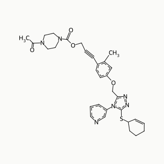 CC(=O)N1CCN(C(=O)OCC#Cc2ccc(OCc3nnc(SC4C=CCCC4)n3-c3cccnc3)cc2C)CC1